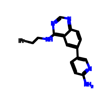 CC(C)CCNc1ncnc2ccc(-c3ccc(N)nc3)cc12